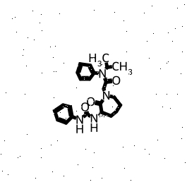 CC(C)N(C(=O)CN1CCCC[C@H](NC(=O)Nc2ccccc2)C1=O)c1ccccc1